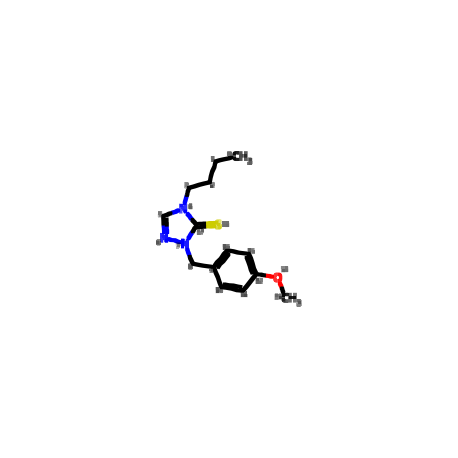 CCCCn1cnn(Cc2ccc(OC)cc2)c1=S